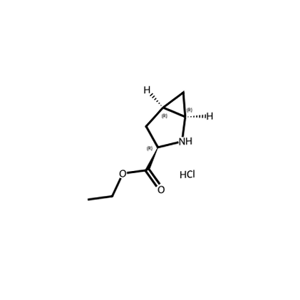 CCOC(=O)[C@H]1C[C@H]2C[C@H]2N1.Cl